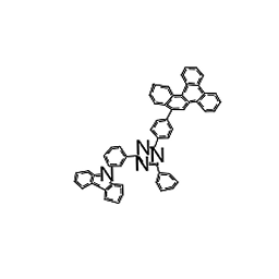 c1ccc(-c2nc(-c3ccc(-c4cc5c6ccccc6c6ccccc6c5c5ccccc45)cc3)nc(-c3cccc(-n4c5ccccc5c5ccccc54)c3)n2)cc1